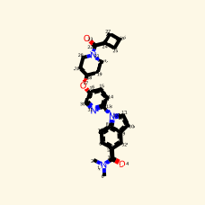 CN(C)C(=O)c1ccc2c(ccn2-c2ccc(OC3CCN(C(=O)C4CCC4)CC3)cn2)c1